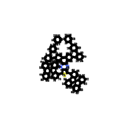 c1ccc(-c2ccc(-c3ccccc3-c3ccc4c5ccc(-c6ccccc6-c6ccc(-c7ccccc7)cc6)cc5c5nc6c(-c7cccc8c7-c7ccccc7C87c8ccccc8-c8ccccc87)sc(-c7cccc8c7-c7ccccc7C87c8ccccc8-c8ccccc87)c6nc5c4c3)cc2)cc1